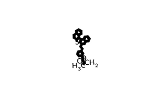 C=C(C)C(=O)Oc1cccc(CCc2cc3ccccc3c3c2sc2ccc4ccccc4c23)c1